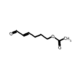 CC(=O)OCCCC=C[C]=O